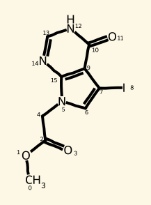 COC(=O)Cn1cc(I)c2c(=O)[nH]cnc21